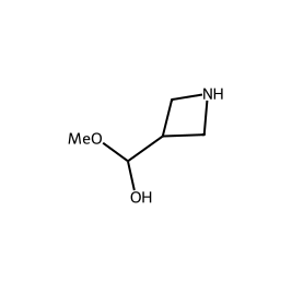 COC(O)C1CNC1